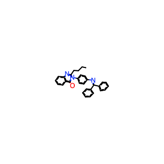 CCCCc1nc2ccccc2c(=O)n1-c1ccc(N=C(c2ccccc2)c2ccccc2)cc1